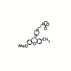 COc1ccc2c(c1)Oc1ccc(C)cc1C(N1CCN(CCCN3CCOC3=O)CC1)C2